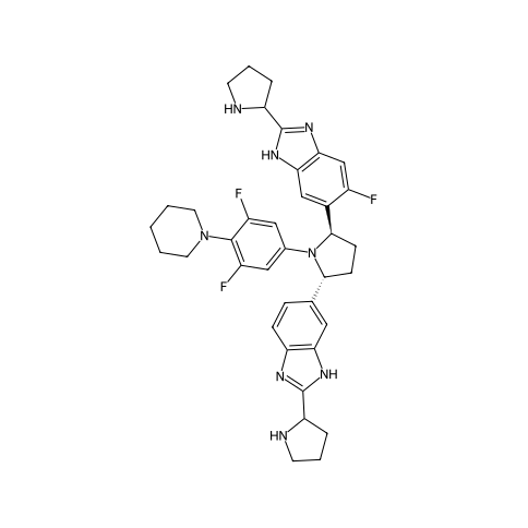 Fc1cc2nc(C3CCCN3)[nH]c2cc1[C@H]1CC[C@H](c2ccc3nc(C4CCCN4)[nH]c3c2)N1c1cc(F)c(N2CCCCC2)c(F)c1